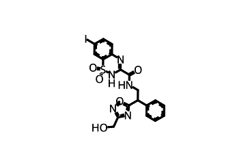 O=C(NCC(c1ccccc1)c1nc(CO)no1)C1=Nc2ccc(I)cc2S(=O)(=O)N1